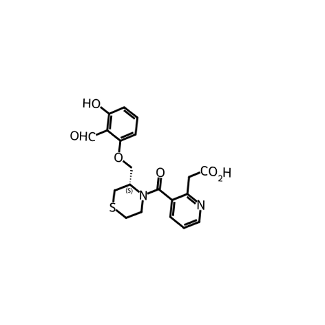 O=Cc1c(O)cccc1OC[C@H]1CSCCN1C(=O)c1cccnc1CC(=O)O